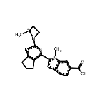 C[C@H]1CCN1c1nc2c(c(-c3nc4ccc(C(=O)O)cc4n3C)n1)CCC2